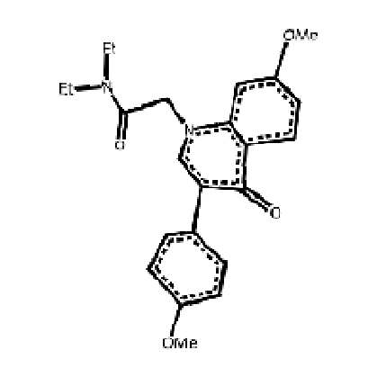 CCN(CC)C(=O)Cn1cc(-c2ccc(OC)cc2)c(=O)c2ccc(OC)cc21